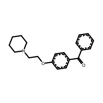 O=C(c1ccccc1)c1ccc(OCCN2CCCCC2)cc1